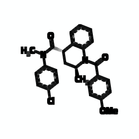 COc1ccc(C(=O)N2c3ccccc3[C@@H](C(=O)N(C)c3ccc(Cl)cc3)C[C@@H]2C)cc1